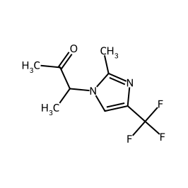 CC(=O)C(C)n1cc(C(F)(F)F)nc1C